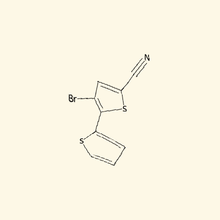 N#Cc1cc(Br)c(-c2cccs2)s1